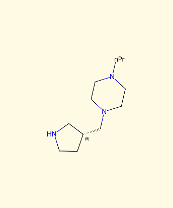 CCCN1CCN(C[C@@H]2CCNC2)CC1